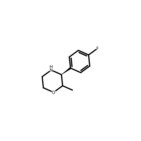 CC1OCCN[C@H]1c1ccc(F)cc1